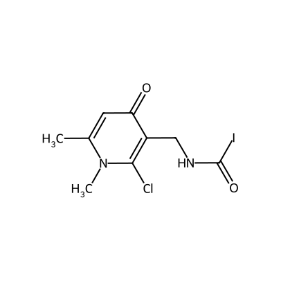 Cc1cc(=O)c(CNC(=O)I)c(Cl)n1C